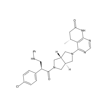 CC(C)NC[C@@H](C(=O)N1C[C@@H]2CN(c3ncnc4c3[C@H](C)CC(=O)N4)C[C@H]2C1)c1ccc(Cl)cc1